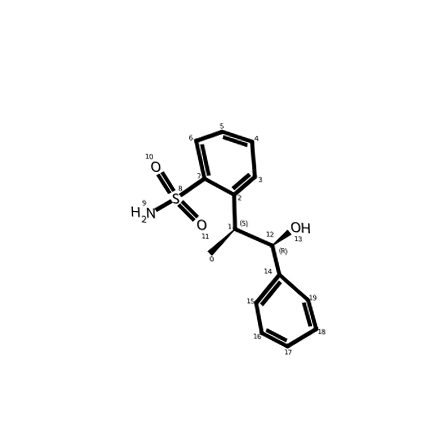 C[C@@H](c1ccccc1S(N)(=O)=O)[C@@H](O)c1ccccc1